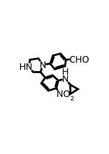 O=Cc1ccc(N2CCNCC2c2ccc([N+](=O)[O-])c(NC3CC3)c2)cc1